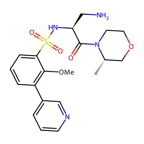 COc1c(-c2cccnc2)cccc1S(=O)(=O)N[C@@H](CN)C(=O)N1CCOC[C@@H]1C